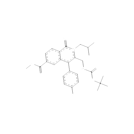 COC(=O)c1ccc2c(=O)n(CC(C)C)c(CNC(=O)OC(C)(C)C)c(-c3ccc(Cl)cc3)c2c1